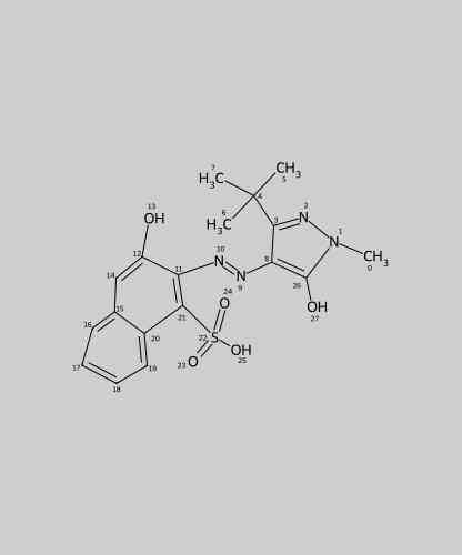 Cn1nc(C(C)(C)C)c(N=Nc2c(O)cc3ccccc3c2S(=O)(=O)O)c1O